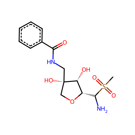 CS(=O)(=O)C(N)[C@@H]1OC[C@@](O)(CNC(=O)c2ccccc2)[C@@H]1O